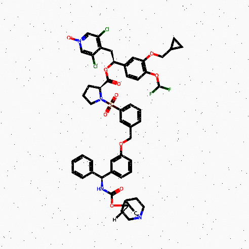 O=C(N[C@@H](c1ccccc1)c1cccc(OCc2cccc(S(=O)(=O)N3CCC[C@H]3C(=O)O[C@@H](Cc3c(Cl)c[n+]([O-])cc3Cl)c3ccc(OC(F)F)c(OCC4CC4)c3)c2)c1)O[C@H]1CN2CCC1CC2